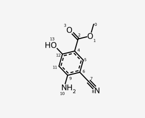 COC(=O)c1cc(C#N)c(N)cc1O